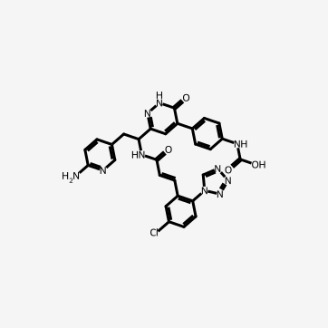 Nc1ccc(CC(NC(=O)C=Cc2cc(Cl)ccc2-n2cnnn2)c2cc(-c3ccc(NC(=O)O)cc3)c(=O)[nH]n2)cn1